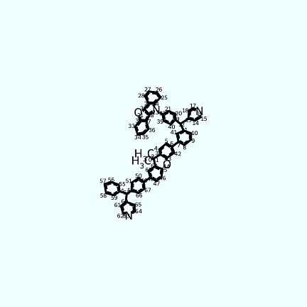 CC1(C)c2ccc(-c3cccc(C(c4ccncc4)c4ccc(-n5c6ccccc6c6oc7ccccc7c65)cc4)c3)cc2Oc2ccc(-c3ccc(C(c4ccccc4)c4ccncc4)cc3)cc21